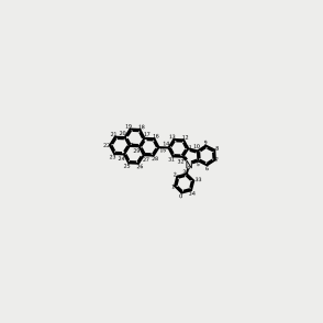 c1ccc(-n2c3ccccc3c3ccc(-c4cc5ccc6cccc7ccc(c4)c5c67)cc32)cc1